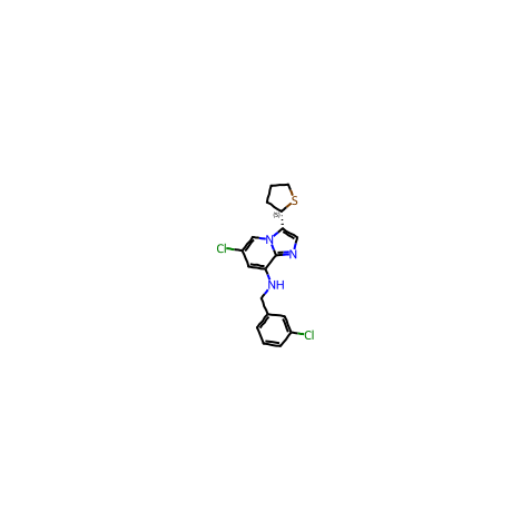 Clc1cccc(CNc2cc(Cl)cn3c([C@@H]4CCCS4)cnc23)c1